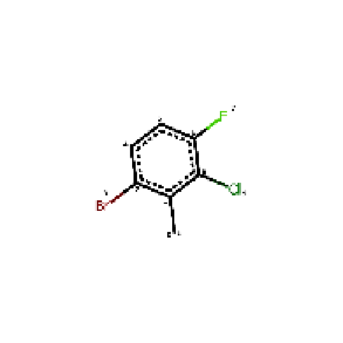 [CH]c1c(Br)ccc(F)c1Cl